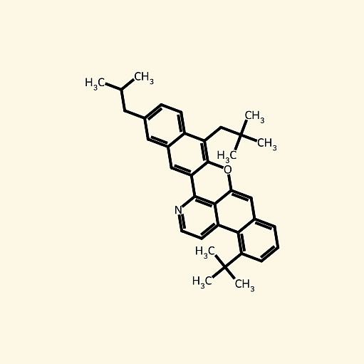 CC(C)Cc1ccc2c(CC(C)(C)C)c3c(cc2c1)-c1nccc2c1c(cc1cccc(C(C)(C)C)c12)O3